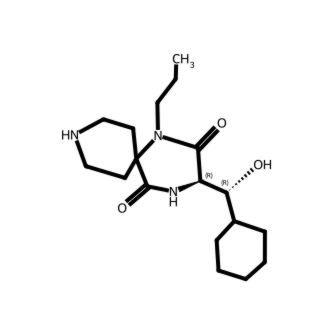 CCCN1C(=O)[C@@H]([C@H](O)C2CCCCC2)NC(=O)C12CCNCC2